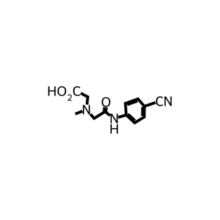 CN(CC(=O)O)CC(=O)Nc1ccc(C#N)cc1